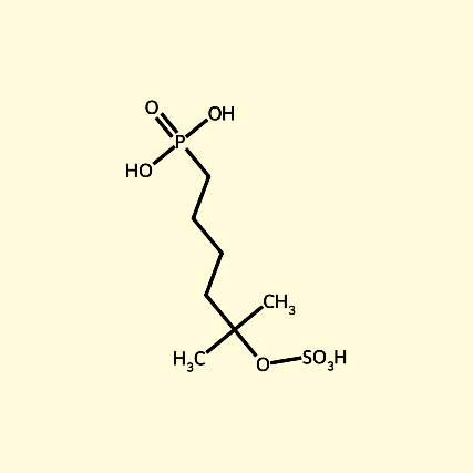 CC(C)(CCCCP(=O)(O)O)OS(=O)(=O)O